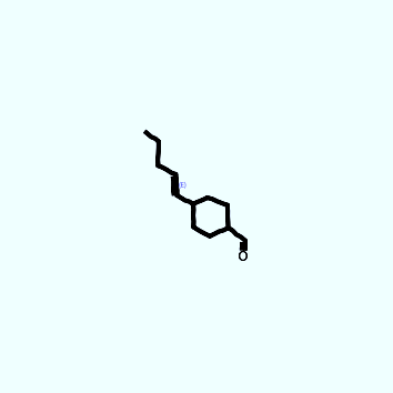 CCC/C=C/C1CCC(C=O)CC1